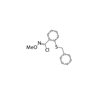 CON=C(Cl)c1ccccc1SCc1ccccc1